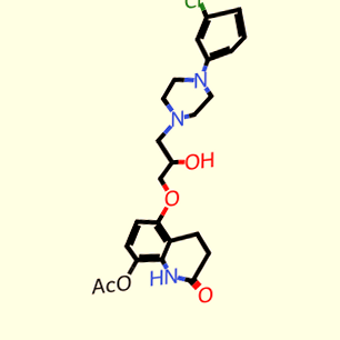 CC(=O)Oc1ccc(OCC(O)CN2CCN(c3cccc(Cl)c3)CC2)c2c1NC(=O)CC2